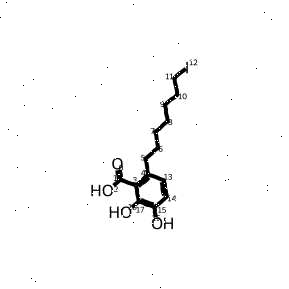 O=C(O)c1c(CCCCCCCI)ccc(O)c1O